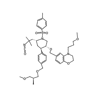 COCCCN1CCOc2ccc(CO[C@H]3CN(S(=O)(=O)c4ccc(C)cc4)[C@@H](CC(C)(C)N=C=O)C[C@@H]3c3ccc(COC[C@@H](C)COC)cc3)cc21